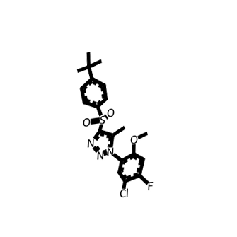 COc1cc(F)c(Cl)cc1-n1nnc(S(=O)(=O)c2ccc(C(C)(C)C)cc2)c1C